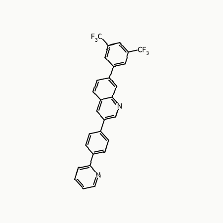 FC(F)(F)c1cc(-c2ccc3cc(-c4ccc(-c5ccccn5)cc4)cnc3c2)cc(C(F)(F)F)c1